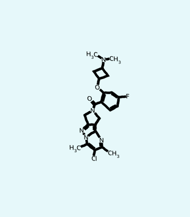 Cc1nc2c3c(nn2c(C)c1Cl)CN(C(=O)c1ccc(F)cc1OC1CC(N(C)C)C1)C3